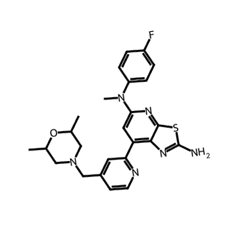 CC1CN(Cc2ccnc(-c3cc(N(C)c4ccc(F)cc4)nc4sc(N)nc34)c2)CC(C)O1